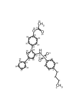 CCCCc1ccc(S(=O)(=O)Nc2cc(-c3cccs3)nn2-c2ccc(OC(C)=O)cc2)cc1